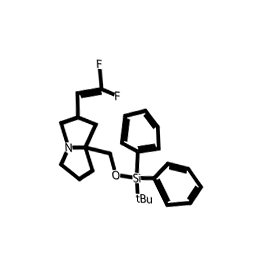 CC(C)(C)[Si](OCC12CCCN1CC(C=C(F)F)C2)(c1ccccc1)c1ccccc1